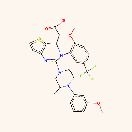 COc1cccc(N2CCN(C3=Nc4ccsc4C(CC(=O)O)N3c3cc(C(F)(F)F)ccc3OC)CC2C)c1